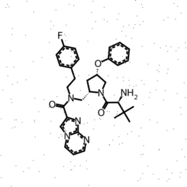 CC(C)(C)[C@H](N)C(=O)N1C[C@@H](Oc2ccccc2)C[C@H]1CN(CCc1ccc(F)cc1)C(=O)c1cn2cccnc2n1